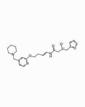 O=C(C[S+]([O-])Cc1ccco1)NC=CCCOc1cc(CN2CCCCC2)ccn1